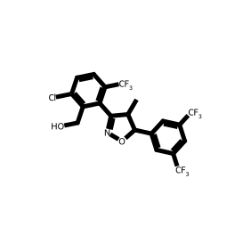 CC1C(c2c(C(F)(F)F)ccc(Cl)c2CO)=NOC1c1cc(C(F)(F)F)cc(C(F)(F)F)c1